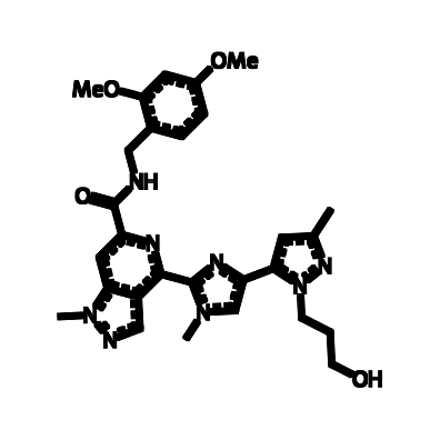 COc1ccc(CNC(=O)c2cc3c(cnn3C)c(-c3nc(-c4cc(C)nn4CCCO)cn3C)n2)c(OC)c1